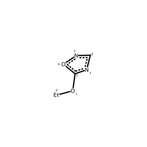 CCOc1n[c]no1